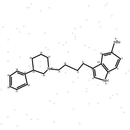 CCCCc1ccc2[nH]cc(CCCCN3CCCC(c4ccccc4)C3)c2c1